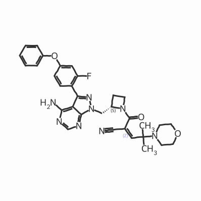 CC(C)(/C=C(/C#N)C(=O)N1CC[C@H]1Cn1nc(-c2ccc(Oc3ccccc3)cc2F)c2c(N)ncnc21)N1CCOCC1